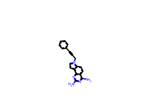 Nc1nc(N)c2ccc3c(ccn3CC#Cc3ccccc3)c2n1